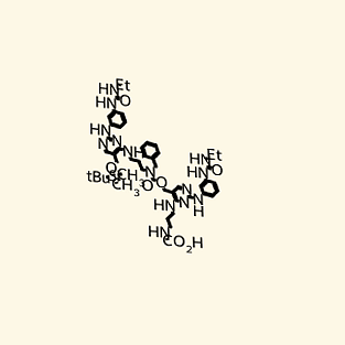 CCNC(=O)Nc1cccc(Nc2ncc(COC(=O)N(CCCNc3nc(Nc4cccc(NC(=O)NCC)c4)ncc3CO[Si](C)(C)C(C)(C)C)Cc3ccccc3)c(NCCCNC(=O)O)n2)c1